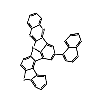 c1ccc2c(-c3cc4c5nc6ccccc6nc5n5c6ccc7sc8ccccc8c7c6c(c3)c45)cccc2c1